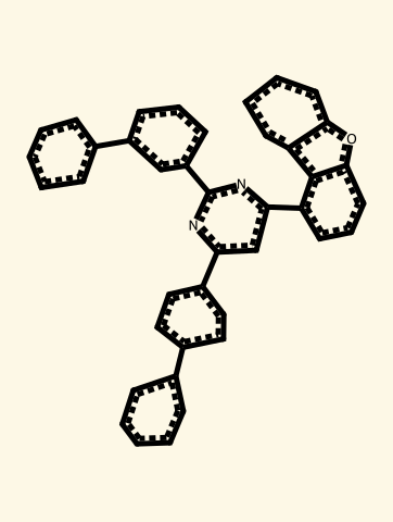 c1ccc(-c2ccc(-c3cc(-c4cccc5oc6ccccc6c45)nc(-c4cccc(-c5ccccc5)c4)n3)cc2)cc1